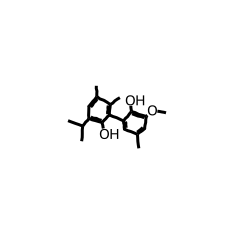 COc1cc(C)cc(-c2c(C)c(C)cc(C(C)C)c2O)c1O